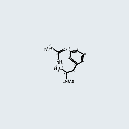 CNC(C)Cc1ccccc1.COC(N)=O